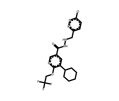 O=C(NNCc1ccc(Cl)nn1)c1cnc(OCC(F)(F)F)c(C2CCCCC2)c1